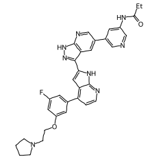 CCC(=O)Nc1cncc(-c2cnc3[nH]nc(-c4cc5c(-c6cc(F)cc(OCCN7CCCC7)c6)ccnc5[nH]4)c3c2)c1